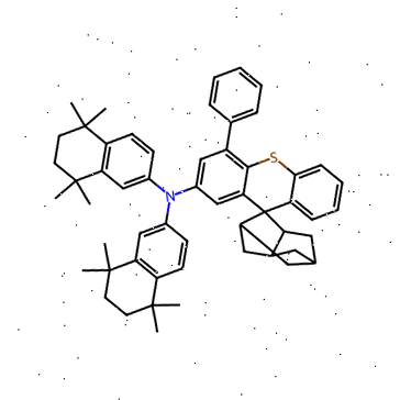 CC1(C)CCC(C)(C)c2cc(N(c3ccc4c(c3)C(C)(C)CCC4(C)C)c3cc(-c4ccccc4)c4c(c3)C3(c5ccccc5S4)C4CC5CC(C4)C3C5)ccc21